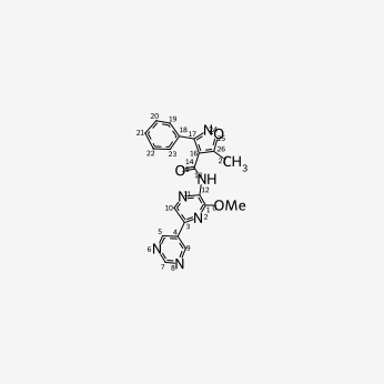 COc1nc(-c2cncnc2)cnc1NC(=O)c1c(-c2ccccc2)noc1C